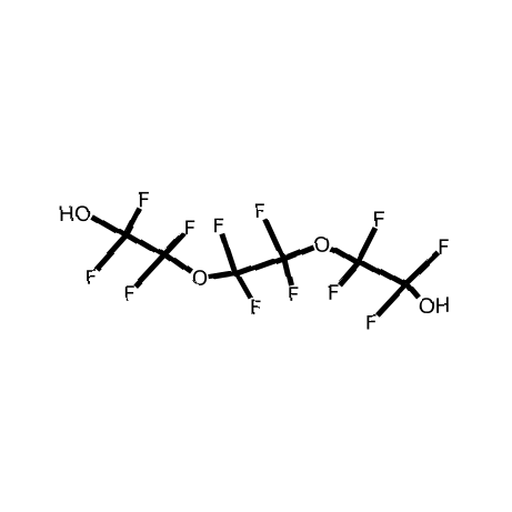 OC(F)(F)C(F)(F)OC(F)(F)C(F)(F)OC(F)(F)C(O)(F)F